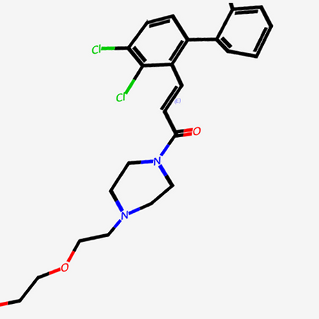 CC(C)c1ccccc1-c1c[c]c(Cl)c(Cl)c1/C=C/C(=O)N1CCN(CCOCCO)CC1